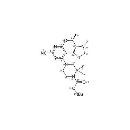 C[C@H](Oc1nc(C#N)cc(N2CCN(C(=O)OC(C)(C)C)C3(CC3)C2)n1)[C@@H]1CCCN1C